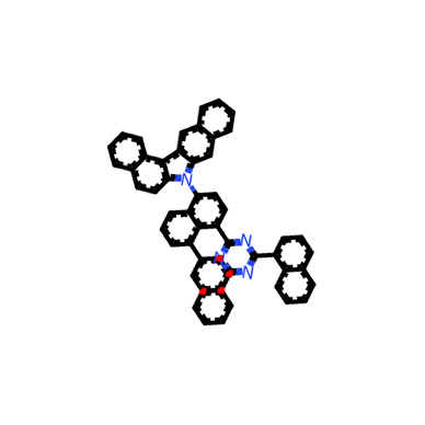 c1ccc(-c2nc(-c3cccc4ccccc34)nc(-c3ccc(-n4c5cc6ccccc6cc5c5c6ccccc6ccc54)c4cccc(-c5ccccc5)c34)n2)cc1